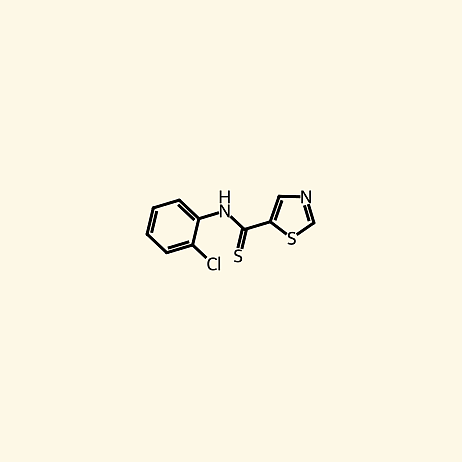 S=C(Nc1ccccc1Cl)c1cncs1